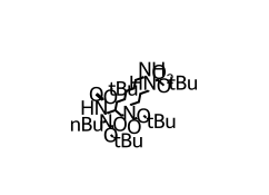 CCCCN(C(=O)OC(C)(C)C)C(NC(=O)OC(C)(C)C)C(CCCCCCN)CN(CCCCNC(=O)OC(C)(C)C)C(=O)OC(C)(C)C